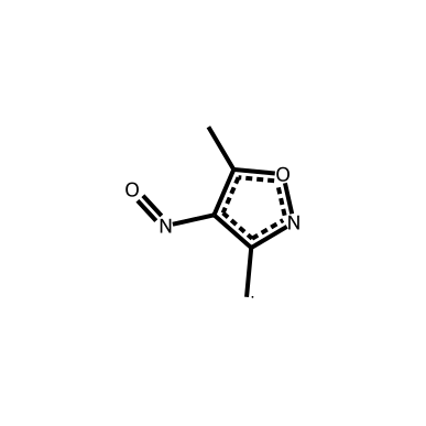 [CH2]c1noc(C)c1N=O